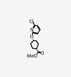 COC(=O)[C@H]1CC[C@H](Oc2cccc(Cl)n2)CC1